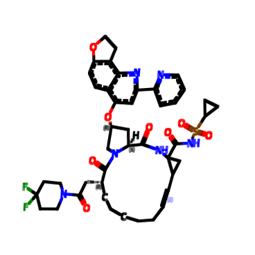 O=C1NC2(C(=O)NS(=O)(=O)C3CC3)CC2/C=C\CCCCC[C@H](CC(=O)N2CCC(F)(F)CC2)C(=O)N2C[C@H](Oc3cc(-c4ccccn4)nc4c5c(ccc34)OCC5)C[C@@H]12